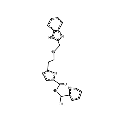 CC(NC(=O)c1csc(CCNCc2nc3ccccc3[nH]2)n1)c1ccccn1